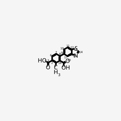 Cc1c(C(=O)O)ccc(-c2ccc3scnc3c2)c1C(=O)O